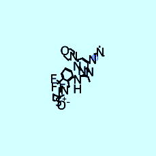 Cc1nc2c(/N=C/N(C)C)cc(N3CCOCC3)nn2c1Nc1cccc(C(F)(F)F)c1CN1CC2(CC[S+]2[O-])C1